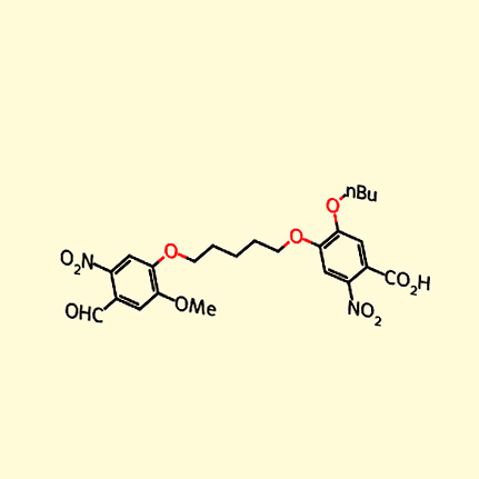 CCCCOc1cc(C(=O)O)c([N+](=O)[O-])cc1OCCCCCOc1cc([N+](=O)[O-])c(C=O)cc1OC